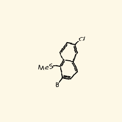 [B]c1ccc2cc(Cl)ccc2c1SC